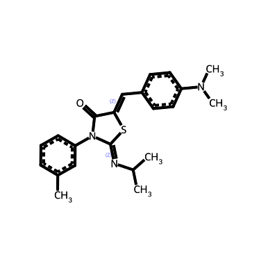 Cc1cccc(N2C(=O)/C(=C/c3ccc(N(C)C)cc3)S/C2=N\C(C)C)c1